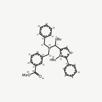 CCCCC(c1cnc(-c2ccccc2)n1CCCC)N(Cc1ccccc1)Cc1cccc(C(=O)OC)c1